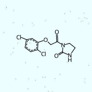 O=C(COc1cc(Cl)ccc1Cl)N1CCNC1=O